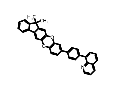 CC1(C)c2ccccc2-c2cc3c(cc21)Oc1cc(-c2ccc(-c4cccc5cccnc45)cc2)ccc1O3